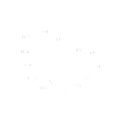 Bc1c(B)c(B)c2c(sc3c2c(B)c(B)c2c3c3c4sc5c(B)c(B)c(B)c(B)c5c4c(B)c(B)c3n2C)c1B